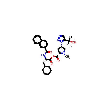 CN1C[C@@H](n2nncc2C(C)(C)O)C[C@H]1C(=O)OC(=O)[C@H](CC1CCCCC1)NC(=O)c1ccc2ccccc2c1